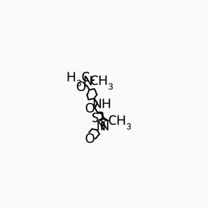 Cc1nn(C2CCOCC2)c2sc(C(=O)NC3CCC(C(=O)N(C)C)CC3)cc12